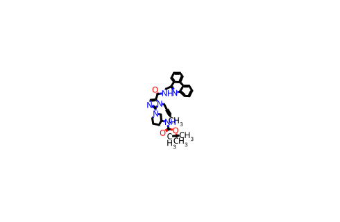 CC#CCn1c(C(=O)NCc2nc3ccccc3c3ccccc23)cnc1N1CCCC(NC(=O)OC(C)(C)C)C1